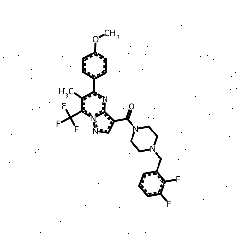 COc1ccc(-c2nc3c(C(=O)N4CCN(Cc5cccc(F)c5F)CC4)cnn3c(C(F)(F)F)c2C)cc1